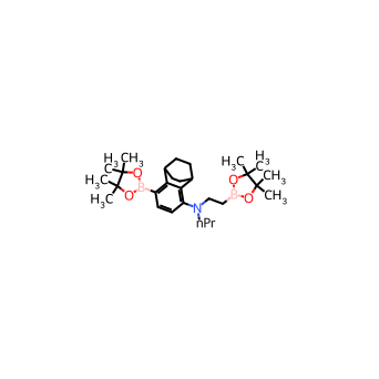 CCCN(CCB1OC(C)(C)C(C)(C)O1)c1ccc(B2OC(C)(C)C(C)(C)O2)c2c1C1CCC2CC1